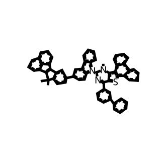 CN1c2c(sc3c4ccccc4c4ccccc4c23)C(c2cccc(-c3ccccc3)c2)=NC1n1c2ccccc2c2cc(-c3ccc4c(c3)C3=C(c5cccc6cccc3c56)C4(C)C)ccc21